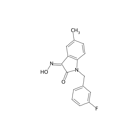 Cc1ccc2c(c1)/C(=N/O)C(=O)N2Cc1cccc(F)c1